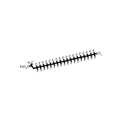 C=C(CC(F)(F)C(F)(F)C(F)(F)C(F)(F)C(F)(F)C(F)(F)C(F)(F)C(F)(F)C(F)(F)C(F)(F)C(F)(F)C(F)(F)C(F)(F)C(F)(F)C(F)(F)C(F)(F)C(F)(F)C(F)(F)C(F)(F)F)C(=O)OCC